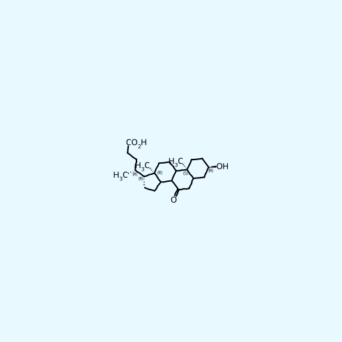 C[C@H](CCC(=O)O)[C@H]1CCC2C3C(=O)CC4C[C@H](O)CC[C@]4(C)C3CC[C@@]21C